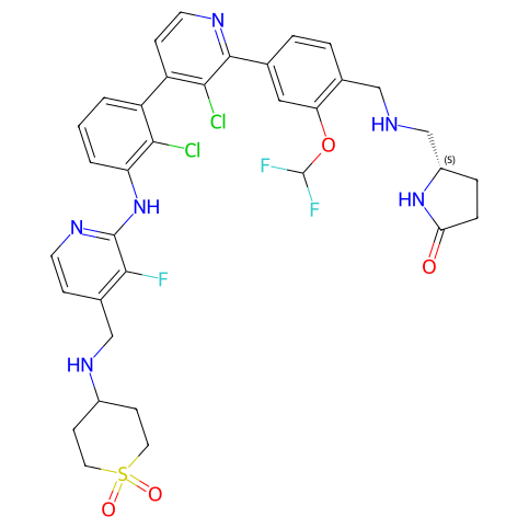 O=C1CC[C@@H](CNCc2ccc(-c3nccc(-c4cccc(Nc5nccc(CNC6CCS(=O)(=O)CC6)c5F)c4Cl)c3Cl)cc2OC(F)F)N1